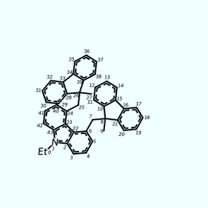 CCn1c2cccc(CC3(C)c4ccccc4-c4ccccc43)c2c2c(CC3(C)c4ccccc4-c4ccccc43)cccc21